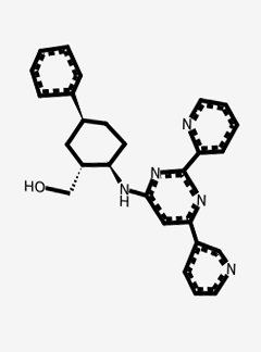 OC[C@@H]1C[C@@H](c2ccccc2)CC[C@H]1Nc1cc(-c2cccnc2)nc(-c2ccccn2)n1